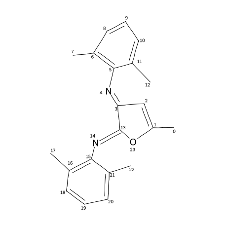 CC1=CC(=Nc2c(C)cccc2C)C(=Nc2c(C)cccc2C)O1